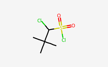 CC(C)(C)C(Cl)S(=O)(=O)Cl